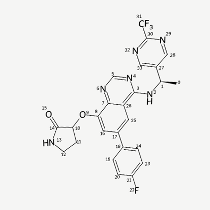 C[C@@H](Nc1ncnc2c(OC3CCNC3=O)cc(-c3ccc(F)cc3)cc12)c1cnc(C(F)(F)F)nc1